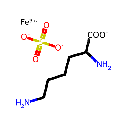 NCCCCC(N)C(=O)[O-].O=S(=O)([O-])[O-].[Fe+3]